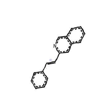 C(=C\c1cc2ccccc2cn1)/c1ccccc1